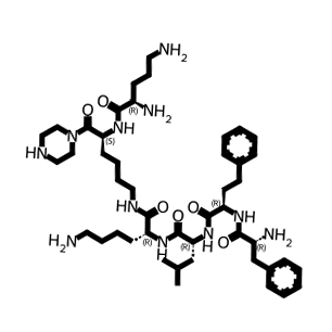 CC(C)C[C@@H](NC(=O)[C@@H](CCc1ccccc1)NC(=O)[C@H](N)Cc1ccccc1)C(=O)N[C@H](CCCCN)C(=O)NCCCC[C@H](NC(=O)[C@H](N)CCCN)C(=O)N1CCNCC1